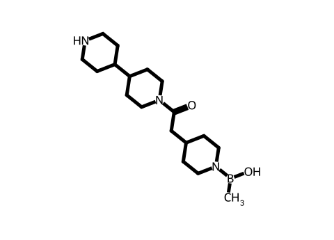 CB(O)N1CCC(CC(=O)N2CCC(C3CCNCC3)CC2)CC1